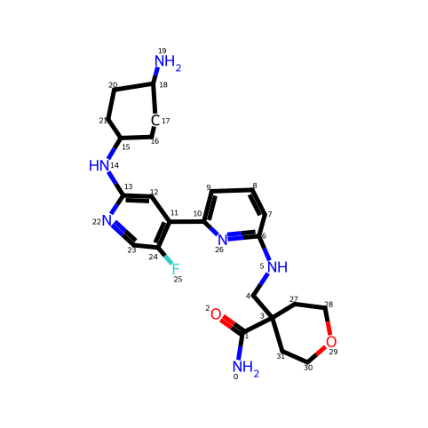 NC(=O)C1(CNc2cccc(-c3cc(NC4CCC(N)CC4)ncc3F)n2)CCOCC1